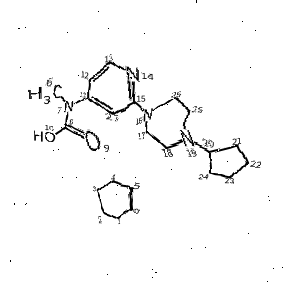 C1CCCCC1.CN(C(=O)O)c1ccnc(N2CCN(C3CCCC3)CC2)c1